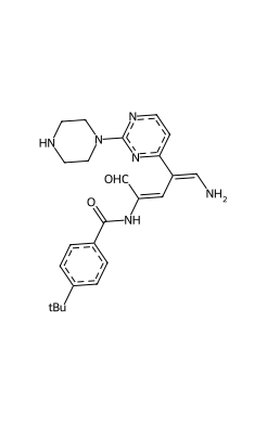 CC(C)(C)c1ccc(C(=O)N/C(C=O)=C/C(=C\N)c2ccnc(N3CCNCC3)n2)cc1